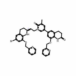 Cc1cc(-c2cc3c(c(OCc4ccccn4)c2)NC(=O)CC3)cn(C/C=C2/CCc3cc(Br)cc(OCc4ccccn4)c3N2)c1=O